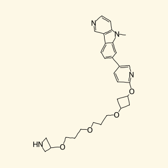 Cn1c2ccncc2c2ccc(-c3ccc(OC4CC(OCCCOCCCOC5CNC5)C4)nc3)cc21